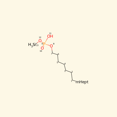 CCCCCCCCCCCCCCOP(=O)(O)O[SiH3]